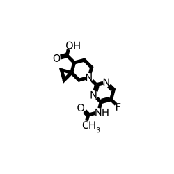 CC(=O)Nc1nc(N2CCC(C(=O)O)C3(CC3)C2)ncc1F